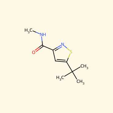 CNC(=O)c1cc(C(C)(C)C)sn1